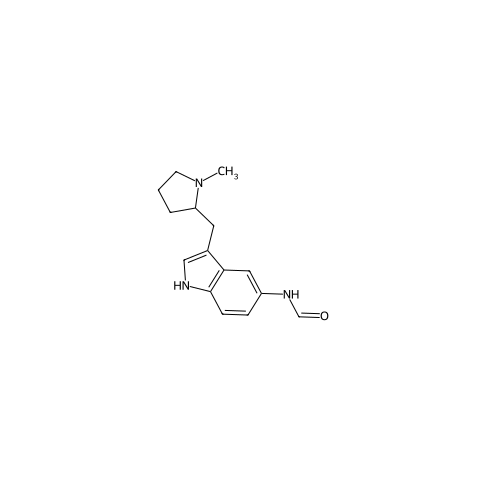 CN1CCCC1Cc1c[nH]c2ccc(NC=O)cc12